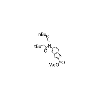 CCCCOCCN(C(=O)CC(C)(C)C)c1ccc2sc(C(=O)OC)cc2c1